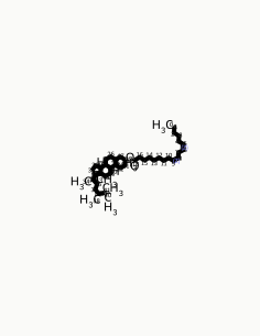 CCCCC/C=C\C/C=C\CCCCCCCC(=O)OC1CC[C@@]2(C)C(CC[C@H]3[C@@H]4CC[C@H]([C@H](C)CC[C@H](C)C(C)C)[C@@]4(C)CC[C@@H]32)C1